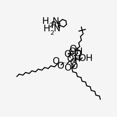 CCCCCCCCCCCCCC(=O)OC[C@H](COC(CO)C(OC(=O)CCCCCC(C)(C)C)P(=O)(O)O)OC(=O)CCCCCCCCCCCCC.N[C@H]1CCCC[C@@H]1N.[Pt]